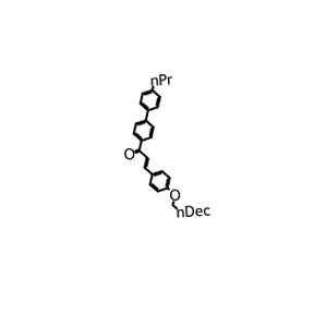 [CH2]CCCCCCCCCCOc1ccc(/C=C/C(=O)c2ccc(-c3ccc(CCC)cc3)cc2)cc1